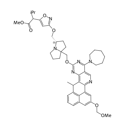 COCOc1cc2c3c(cccc3c1)C(C)c1c-2ncc2c(N3CCCCCC3)nc(OCC34CCCN3[C@H](COc3cc(C(C(=O)OC)C(C)C)on3)CC4)nc12